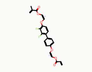 C=CC(=O)O/C=C\Oc1ccc(-c2ccc(O/C=C\OC(=O)C(=C)C)c(F)c2F)cc1